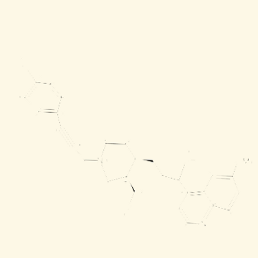 COc1ccc2nccc(C(O)CC[C@@H]3CCN(CC#Cc4ccc(C(F)(F)F)cc4)C[C@@H]3CO)c2c1